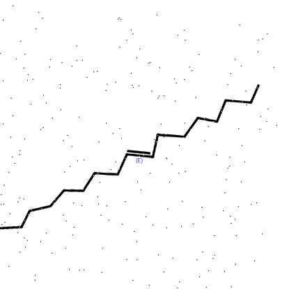 CCCCCCC/C=C/CCCCCCCC